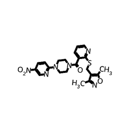 Cc1noc(C)c1CSc1ncccc1C(=O)N1CCN(c2ccc([N+](=O)[O-])cn2)CC1